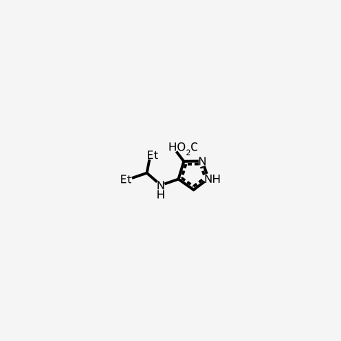 CCC(CC)Nc1c[nH]nc1C(=O)O